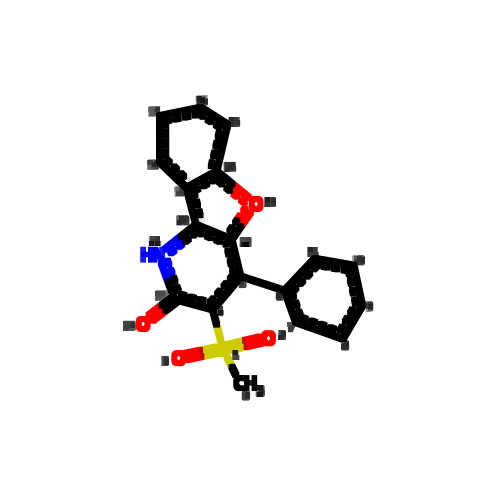 CS(=O)(=O)c1c(-c2ccccc2)c2oc3ccccc3c2[nH]c1=O